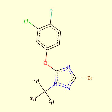 [2H]C([2H])([2H])n1nc(Br)nc1Oc1ccc(F)c(Cl)c1